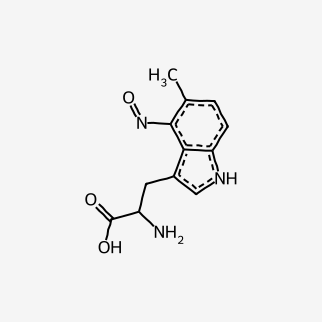 Cc1ccc2[nH]cc(CC(N)C(=O)O)c2c1N=O